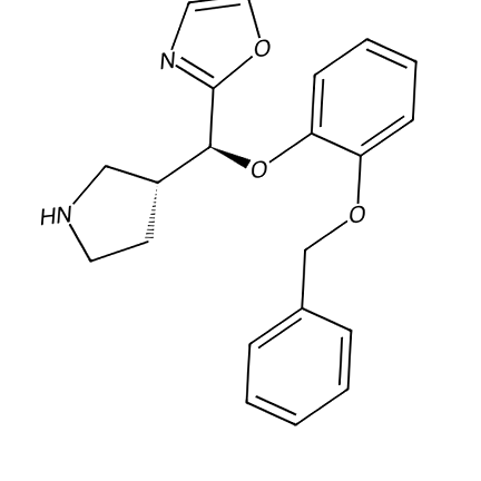 c1ccc(COc2ccccc2O[C@H](c2ncco2)[C@@H]2CCNC2)cc1